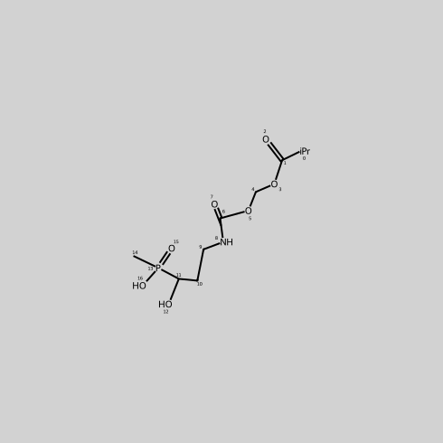 CC(C)C(=O)OCOC(=O)NCCC(O)P(C)(=O)O